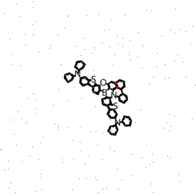 C1=C=C2C3=C(C=1)Oc1c(ccc4c1sc1cc(N(c5ccccc5)c5ccccc5)ccc14)B3c1ccc3c(sc4cc(N(c5ccccc5)c5ccccc5)ccc43)c1N2c1ccccc1-c1ccccc1